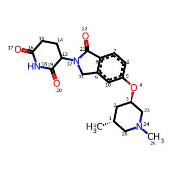 C[C@@H]1C[C@@H](Oc2ccc3c(c2)CN(C2CCC(=O)NC2=O)C3=O)CN(C)C1